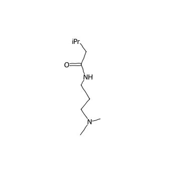 CC(C)CC(=O)NCCCN(C)C